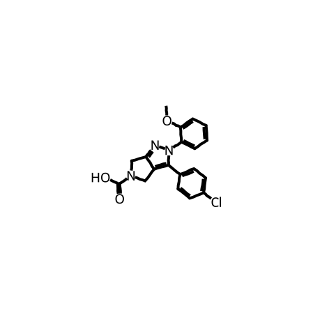 COc1ccccc1-n1nc2c(c1-c1ccc(Cl)cc1)CN(C(=O)O)C2